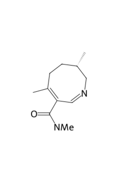 CNC(=O)C1=C(\C)CC[C@H](C)C/N=C\1